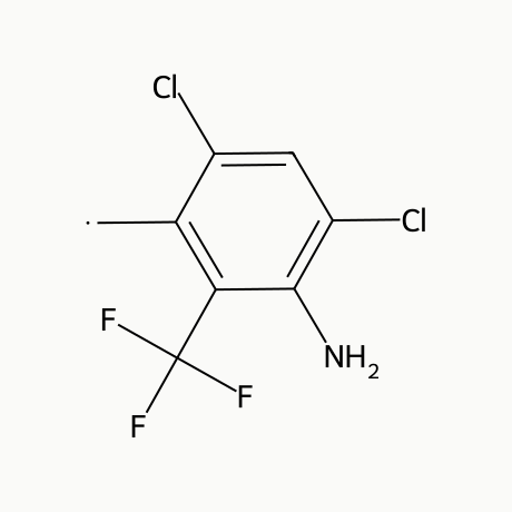 [CH2]c1c(Cl)cc(Cl)c(N)c1C(F)(F)F